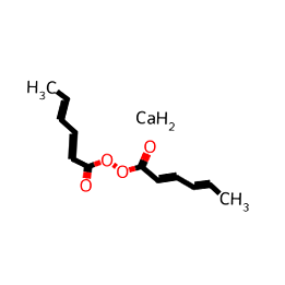 C/C=C/C=C/C(=O)OOC(=O)/C=C/C=C/C.[CaH2]